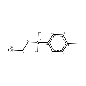 Cc1ccc(S(C)(C)CCC(C)(C)C)cc1